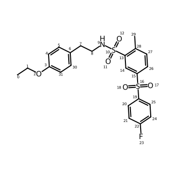 CCOc1ccc(CCNS(=O)(=O)c2cc(S(=O)(=O)c3ccc(F)cc3)ccc2C)cc1